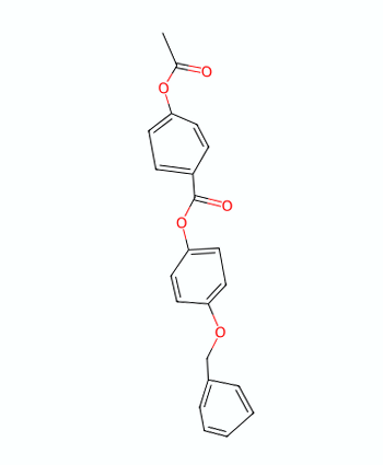 CC(=O)Oc1ccc(C(=O)Oc2ccc(OCc3ccccc3)cc2)cc1